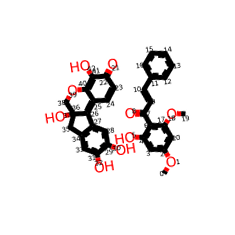 COc1cc(O)c(C(=O)C=Cc2ccccc2)c(OC)c1.O=C1C=CC2=C3c4cc(O)c(O)cc4CC3(O)COC2=C1O